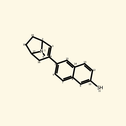 CN1C2C=C(c3ccc4cc(S)ccc4c3)CC1CC2